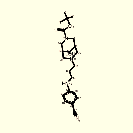 CC(C)(C)OC(=O)N1CC2CN(CCCNc3ccc(C#N)cc3)CC(C1)C2O